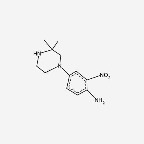 CC1(C)CN(c2ccc(N)c([N+](=O)[O-])c2)CCN1